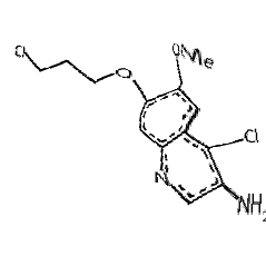 COc1cc2c(Cl)c(N)cnc2cc1OCCCCl